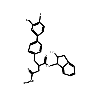 O=C(CC(Cc1ccc(-c2ccc(F)c(Cl)c2)cc1)C(=O)NC1c2ccccc2CC1O)NO